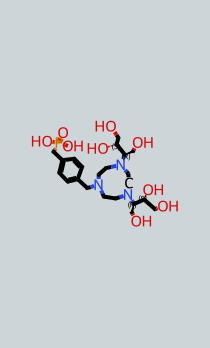 O=P(O)(O)Cc1ccc(CN2CCN([C@H](CO)[C@H](O)CO)CCN([C@H](CO)[C@H](O)CO)CC2)cc1